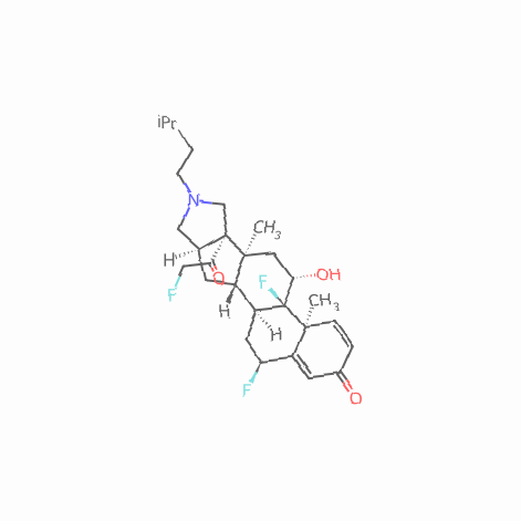 CC(C)CCN1C[C@@H]2C[C@H]3[C@@H]4C[C@H](F)C5=CC(=O)C=C[C@]5(C)[C@@]4(F)[C@@H](O)C[C@]3(C)[C@]2(C(=O)CF)C1